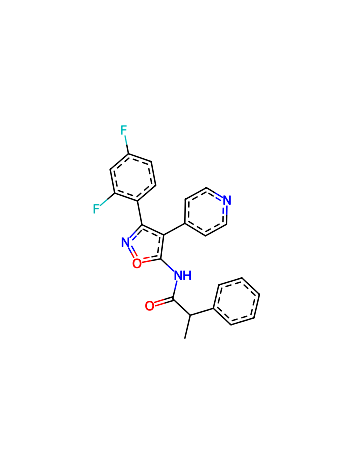 CC(C(=O)Nc1onc(-c2ccc(F)cc2F)c1-c1ccncc1)c1ccccc1